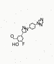 O=Cc1cc(-c2cnn(-c3ccc(-n4cncn4)cc3)c2)cc(F)c1O